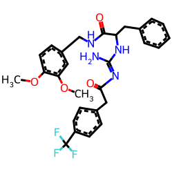 COc1ccc(CNC(=O)C(Cc2ccccc2)NC(N)=NC(=O)Cc2ccc(C(F)(F)F)cc2)cc1OC